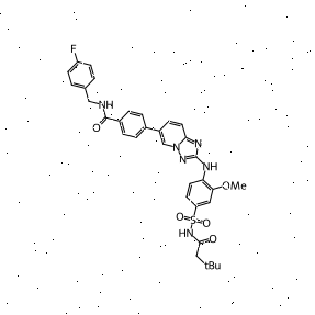 COc1cc(S(=O)(=O)NC(=O)CC(C)(C)C)ccc1Nc1nc2ccc(-c3ccc(C(=O)NCc4ccc(F)cc4)cc3)cn2n1